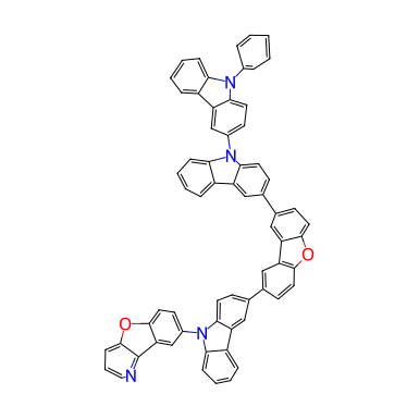 c1ccc(-n2c3ccccc3c3cc(-n4c5ccccc5c5cc(-c6ccc7oc8ccc(-c9ccc%10c(c9)c9ccccc9n%10-c9ccc%10oc%11cccnc%11c%10c9)cc8c7c6)ccc54)ccc32)cc1